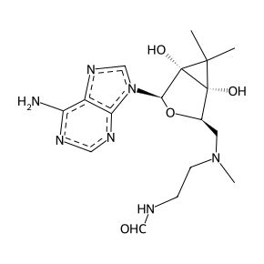 CN(CCNC=O)C[C@H]1O[C@@H](n2cnc3c(N)ncnc32)[C@@]2(O)C(C)(C)[C@@]12O